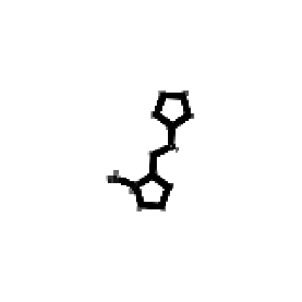 CC(C)(C)N1CCCC1COC1CCCC1